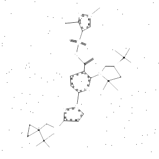 Cc1nn(C)cc1S(=O)(=O)NC(=O)c1ccc(-n2ccc(OCC3(C(F)(F)F)CC3)n2)nc1N1C[C@@H](C(C)(C)C)CC1(C)C